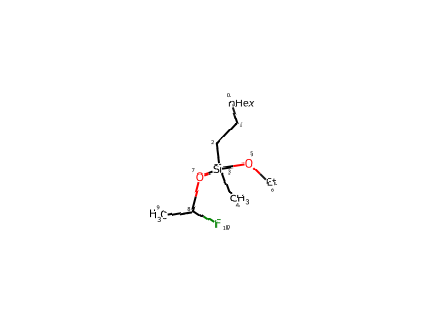 CCCCCCCC[Si](C)(OCC)OC(C)F